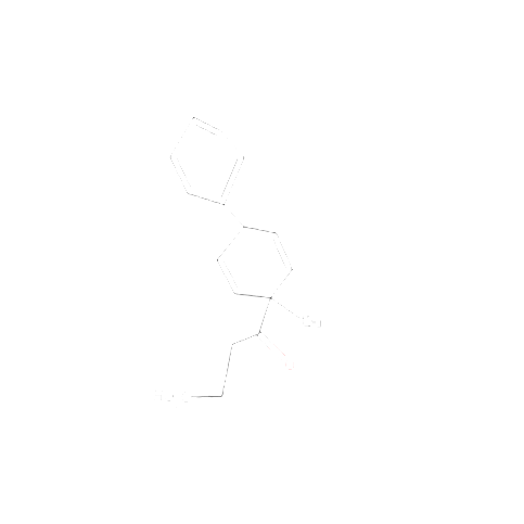 CC(C)(C)C1(C(=O)CCC(=O)O)C=CC(c2ccccc2)C=C1